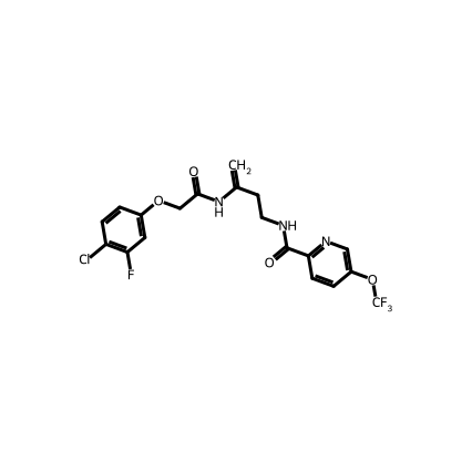 C=C(CCNC(=O)c1ccc(OC(F)(F)F)cn1)NC(=O)COc1ccc(Cl)c(F)c1